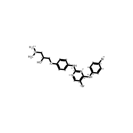 CN(C)CC(O)COc1ccc(Nc2ncc(Br)c(Nc3ccc(Br)cc3)n2)cc1